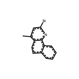 Cc1cc(Br)nc2c1ccc1ccccc12